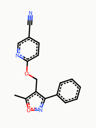 Cc1onc(-c2ccccc2)c1COc1ccc(C#N)cn1